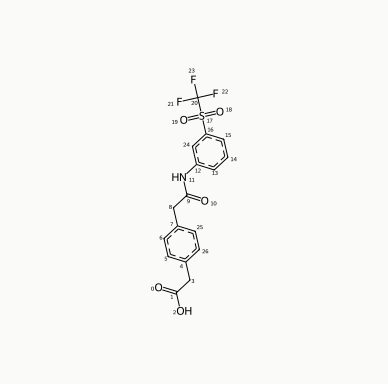 O=C(O)Cc1ccc(CC(=O)Nc2cccc(S(=O)(=O)C(F)(F)F)c2)cc1